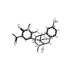 CC(=O)c1cc2c(n(C)c1=O)C[C@]13CCN(C)[C@H](Cc4ccc(O)cc41)[C@]3(O)C2